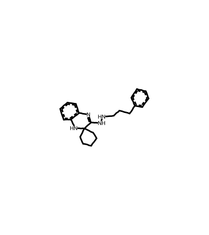 c1ccc(CCCNNC2=Nc3ccccc3NC23CCCCC3)cc1